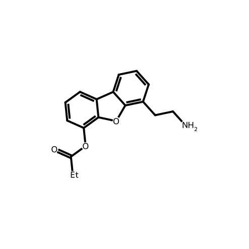 CCC(=O)Oc1cccc2c1oc1c(CCN)cccc12